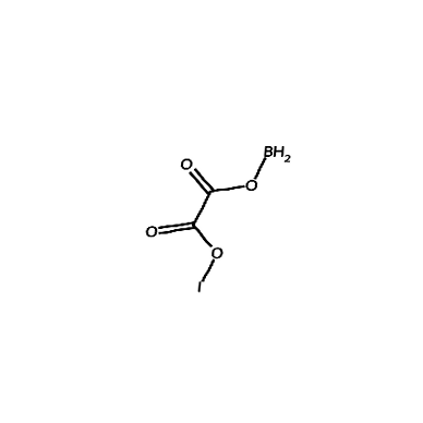 BOC(=O)C(=O)OI